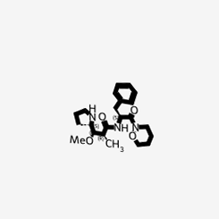 CO[C@@H]([C@@H]1CCCN1)[C@@H](C)C(=O)N[C@@H](Cc1ccccc1)C(=O)N1CCCCO1